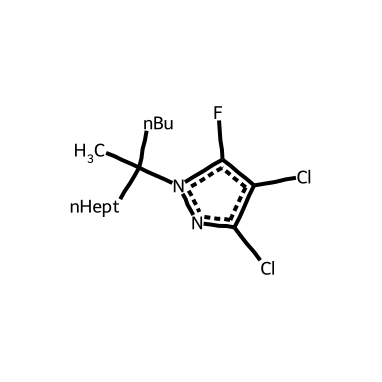 CCCCCCCC(C)(CCCC)n1nc(Cl)c(Cl)c1F